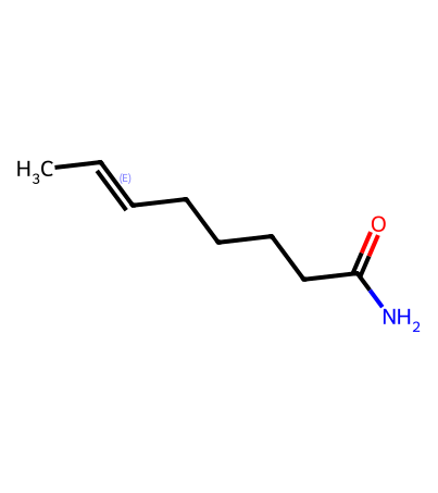 C/C=C/CCCCC(N)=O